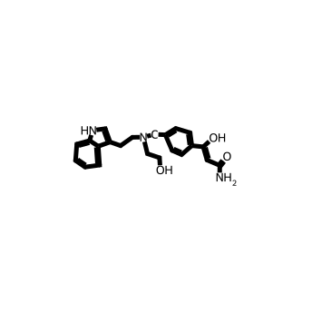 NC(=O)C=C(O)c1ccc(CN(CCO)CCc2c[nH]c3ccccc23)cc1